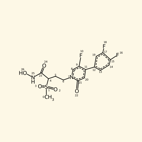 CS(=O)(=O)C(CCn1cc(F)c(-c2ccc(F)c(F)c2)cc1=O)C(=O)NO